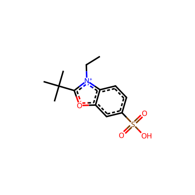 CC[n+]1c(C(C)(C)C)oc2cc(S(=O)(=O)O)ccc21